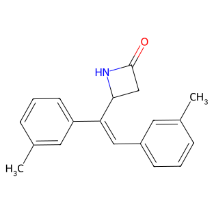 Cc1cccc(C=C(c2cccc(C)c2)C2CC(=O)N2)c1